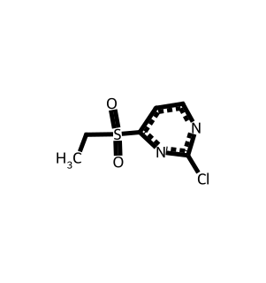 CCS(=O)(=O)c1ccnc(Cl)n1